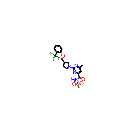 Cc1cc(C(=O)NS(C)(=O)=O)nc(N2CCC(COc3ccccc3C(F)(F)F)C2)n1